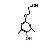 Cc1cc(OCCO)cc(C)c1O